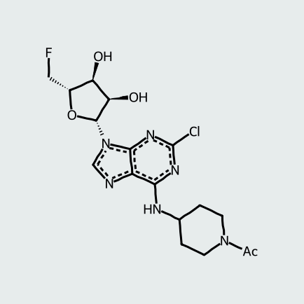 CC(=O)N1CCC(Nc2nc(Cl)nc3c2ncn3[C@@H]2O[C@H](CF)[C@@H](O)[C@H]2O)CC1